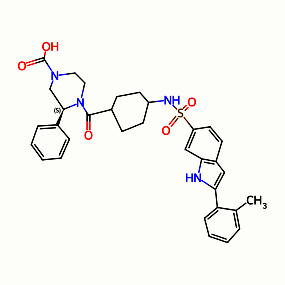 Cc1ccccc1-c1cc2ccc(S(=O)(=O)NC3CCC(C(=O)N4CCN(C(=O)O)C[C@@H]4c4ccccc4)CC3)cc2[nH]1